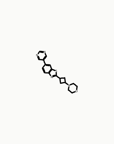 c1ncc(-c2ccc3nc(C4CC(N5CCOCC5)C4)sc3c2)cn1